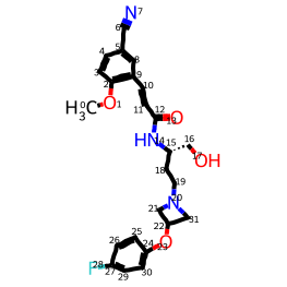 COc1ccc(C#N)cc1C=CC(=O)N[C@H](CO)CCN1CC(Oc2ccc(F)cc2)C1